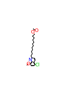 COc1ccc(Cl)c2ccc(CCCCCCCCCCCCOC(C)=O)nc12